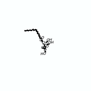 CCCCCCCC/C=C\CCCCCCCC(=O)OCCOC[C@@H](OCCO)[C@H]1OCC(OCCO)C1OCCO